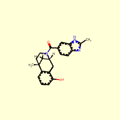 Cc1nc2ccc(C(=O)N3CC[C@@]4(C)c5cccc(O)c5C[C@@H]3C4(C)C)cc2[nH]1